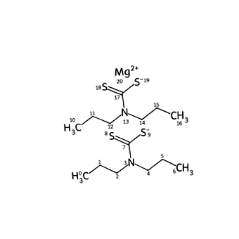 CCCN(CCC)C(=S)[S-].CCCN(CCC)C(=S)[S-].[Mg+2]